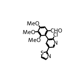 COc1cc(C=O)c(-c2cc(-c3nccs3)cnc2Cl)c(OC)c1OC